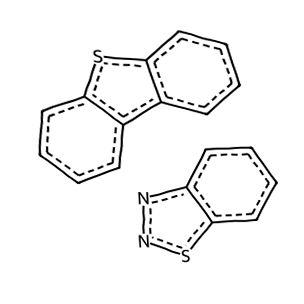 c1ccc2c(c1)sc1ccccc12.c1ccc2snnc2c1